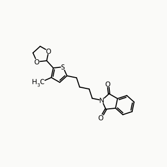 Cc1cc(CCCCN2C(=O)c3ccccc3C2=O)sc1C1OCCO1